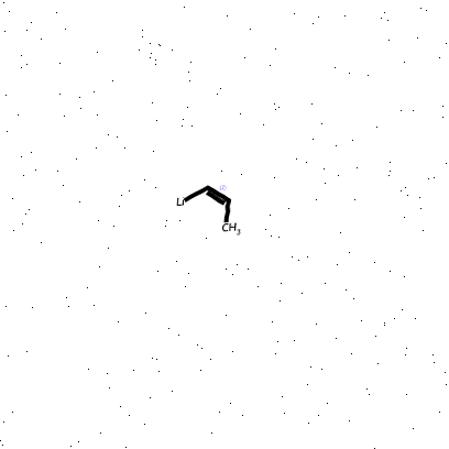 [Li]/[CH]=C\C